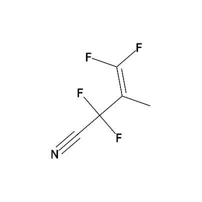 CC(=C(F)F)C(F)(F)C#N